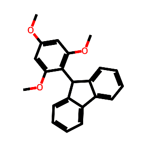 COc1cc(OC)c(C2c3ccccc3-c3ccccc32)c(OC)c1